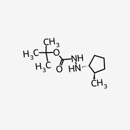 C[C@@H]1CCC[C@H]1NNC(=O)OC(C)(C)C